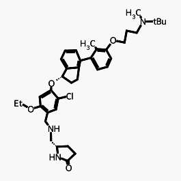 CCOc1cc(O[C@H]2CCc3c(-c4cccc(OCCCN(C)C(C)(C)C)c4C)cccc32)c(Cl)cc1CNC[C@@H]1CCC(=O)N1